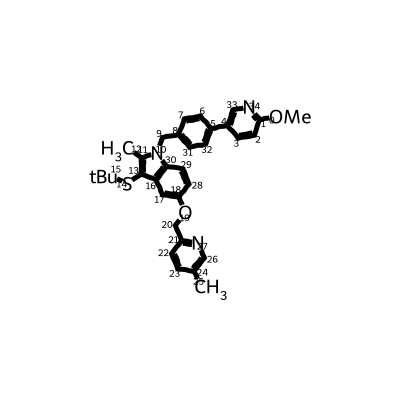 COc1ccc(-c2ccc(Cn3c(C)c(SC(C)(C)C)c4cc(OCc5ccc(C)cn5)ccc43)cc2)cn1